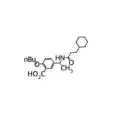 CCCCOc1ccc(C(C)NC(=O)CCC2CCCCC2)cc1C(=O)O